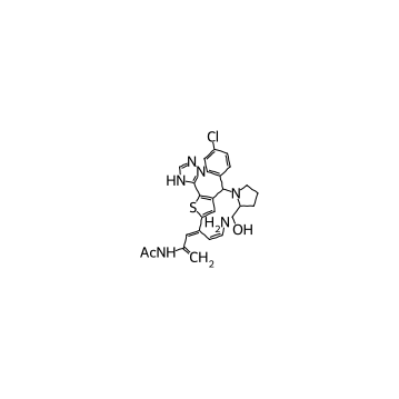 C=C(/C=C(\C=C/N)c1cc(C(c2ccc(Cl)cc2)N2CCCC2CO)c(-c2nnc[nH]2)s1)NC(C)=O